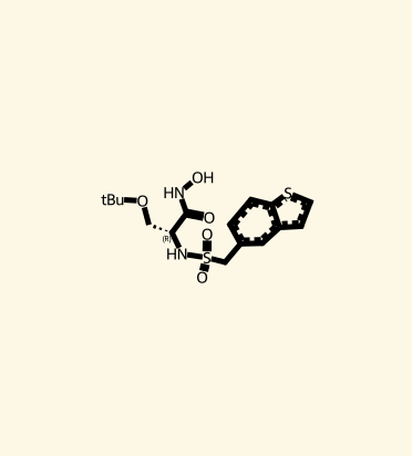 CC(C)(C)OC[C@@H](NS(=O)(=O)Cc1ccc2sccc2c1)C(=O)NO